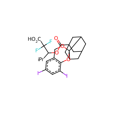 CC(C)C(OC(=O)C12CC3CC(C1)C1(OCc4cc(I)cc(I)c4O1)C(C3)C2)C(F)(F)C(=O)O